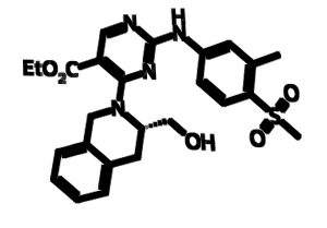 CCOC(=O)c1cnc(Nc2ccc(S(C)(=O)=O)c(C)c2)nc1N1Cc2ccccc2C[C@H]1CO